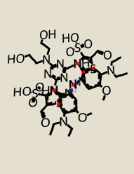 CCN(CC)c1cc(Nc2nc(Nc3cc(N(CC)CC)c(OC)cc3/N=N/c3nc(S(=O)(=O)O)c(C=O)s3)nc(N(CCO)CCO)n2)c(/N=N/c2nc(S(=O)(=O)O)c(C=O)s2)cc1OC